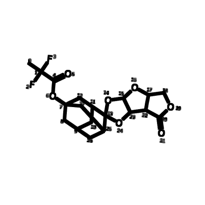 CC(F)(F)C(=O)OC12CC3CC(C1)C1(OC4OC5COC(=O)C5C4O1)C(C3)C2